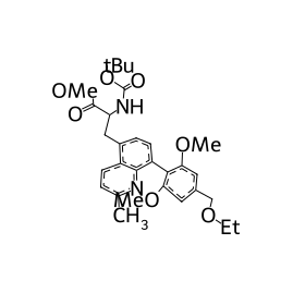 CCOCc1cc(OC)c(-c2ccc(CC(NC(=O)OC(C)(C)C)C(=O)OC)c3ccc(C)nc23)c(OC)c1